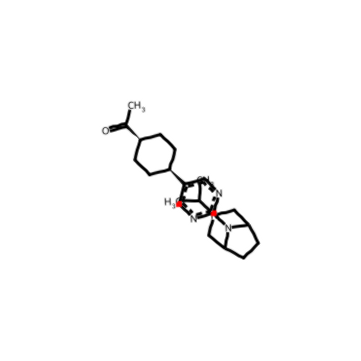 CC(=O)[C@H]1CC[C@@H](c2cnc(N3C4CCC3CN(C(C)C)C4)nc2)CC1